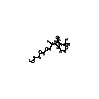 COCCOCOCC(C)C1C(=O)N2C1CCOC2(C)C